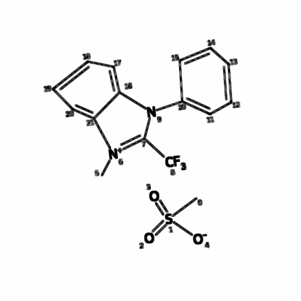 CS(=O)(=O)[O-].C[n+]1c(C(F)(F)F)n(-c2ccccc2)c2ccccc21